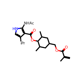 C=C(C)C(=O)OCC1CC(C)C(OC(=O)c2c(C(C)C)c[nH]c2NC(C)=O)C(C)C1